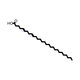 CCCCCCCCCCCCCCCCCC/C=C/CC/C=C/CCCC(=O)O